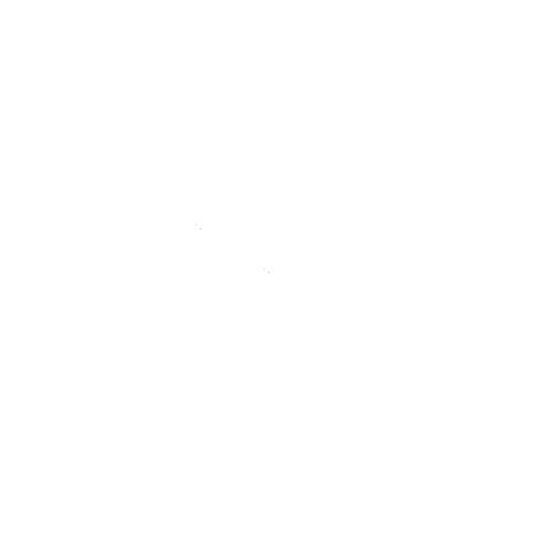 Cc1c(C)c(C)n(CCC#N)c1C